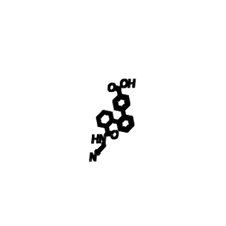 N#CCNC(=O)C1CCCCC1c1ccccc1-c1ccc(C(=O)O)cc1